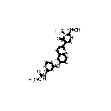 CNc1ncc(-c2ccc3cc(Oc4ccnc(NC(=O)OC)c4)ccc3n2)c(=O)n1C